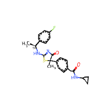 C[C@H](NC1=NC(=O)C(C)(c2ccc(C(=O)NC3CC3)cc2)S1)c1ccc(F)cc1